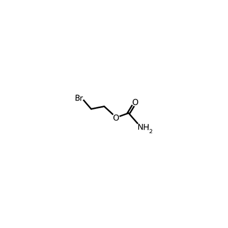 NC(=O)OCCBr